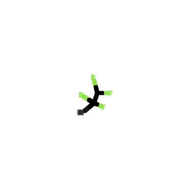 [CH2]C(C)C(F)(F)[C](F)F